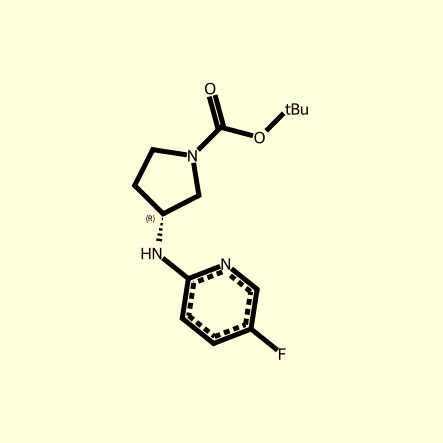 CC(C)(C)OC(=O)N1CC[C@@H](Nc2ccc(F)cn2)C1